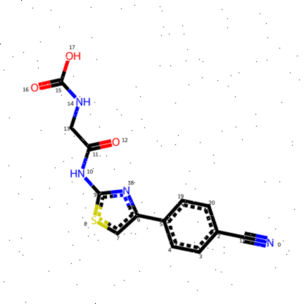 N#Cc1ccc(-c2csc(NC(=O)CNC(=O)O)n2)cc1